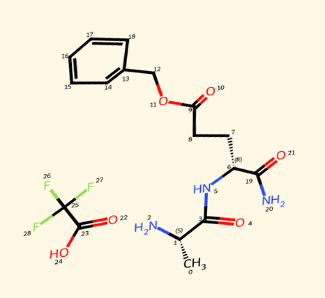 C[C@H](N)C(=O)N[C@H](CCC(=O)OCc1ccccc1)C(N)=O.O=C(O)C(F)(F)F